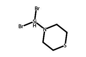 Br[SiH](Br)N1CCSCC1